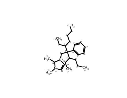 CCCCC(CC)C(CN1C=CN(C)C1C)(c1ccccc1)C(CC)CCC